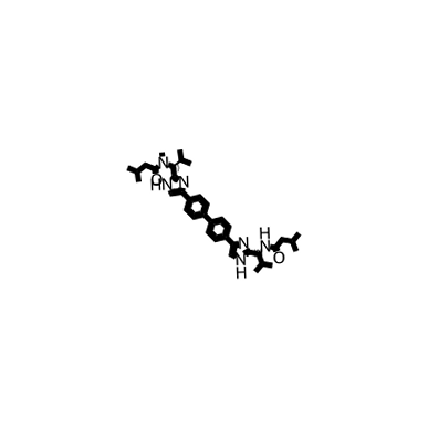 CC(C)CC(=O)N[C@H](c1nc(-c2ccc(-c3ccc(-c4c[nH]c([C@H](C(C)C)N(C)C(=O)CC(C)C)n4)cc3)cc2)c[nH]1)C(C)C